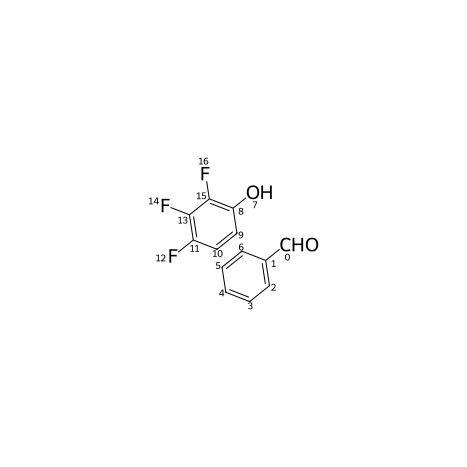 O=Cc1ccccc1.Oc1ccc(F)c(F)c1F